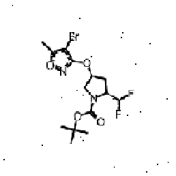 Cc1onc(O[C@H]2C[C@@H](C(F)F)N(C(=O)OC(C)(C)C)C2)c1Br